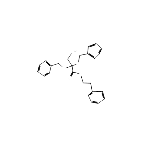 CCC(OCc1ccccc1)(OCc1ccccc1)C(=O)OCCc1ccccc1